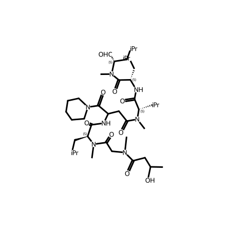 CC(C)C[C@H](NC(=O)[C@H](C(C)C)N(C)C(=O)CC(NC(=O)[C@H](CC(C)C)N(C)C(=O)CN(C)C(=O)CC(C)O)C(=O)N1CCCCC1)C(=O)N(C)[C@H](C=O)CC(C)C